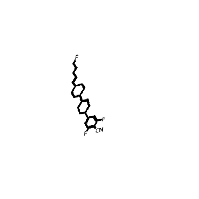 N#Cc1c(F)cc(C2CCC(C3CCC(/C=C/CCCF)CC3)CC2)cc1F